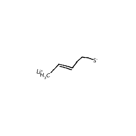 CC=CC[S-].[Li+]